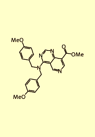 COC(=O)c1cncc2c(N(Cc3ccc(OC)cc3)Cc3ccc(OC)cc3)ncnc12